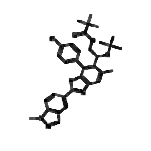 Cc1cc2nc(-c3ccc4c(cnn4C)c3)sc2c(-c2ccc(Cl)cc2)c1C(COC(=O)C(C)(C)C)OC(C)(C)C